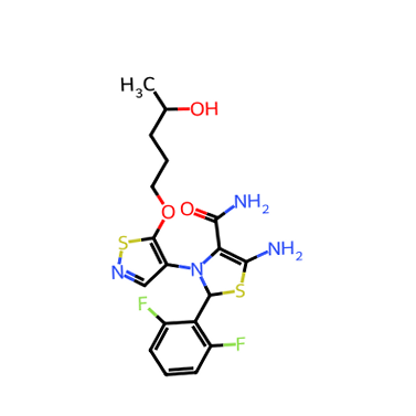 CC(O)CCCOc1sncc1N1C(C(N)=O)=C(N)SC1c1c(F)cccc1F